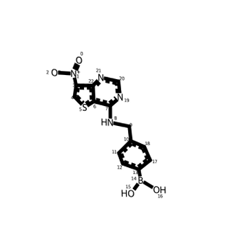 O=[N+]([O-])c1csc2c(NCc3ccc(B(O)O)cc3)ncnc12